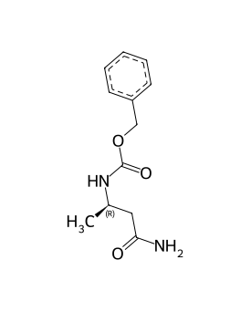 C[C@H](CC(N)=O)NC(=O)OCc1ccccc1